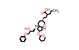 CCCC(CC[C@@H]1CC[C@@H]2[C@@H](/C=C/[C@@H](O)COc3ccccc3)[C@H](OC3CCCCO3)C[C@@H]2OC1)C(=O)O